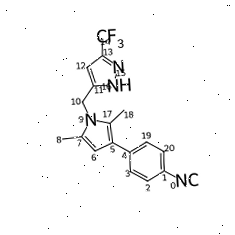 [C-]#[N+]c1ccc(-c2cc(C)n(Cc3cc(C(F)(F)F)n[nH]3)c2C)cc1